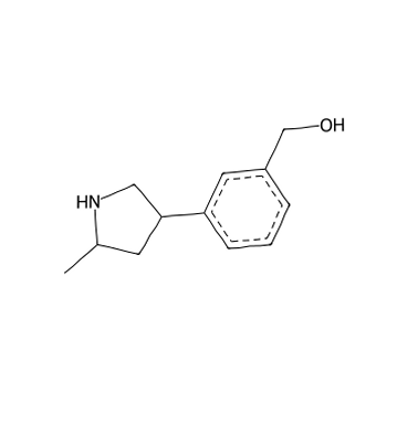 CC1CC(c2cccc(CO)c2)CN1